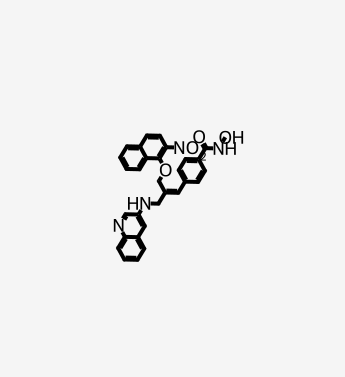 O=C(NO)c1ccc(C=C(CNc2cnc3ccccc3c2)COc2c([N+](=O)[O-])ccc3ccccc23)cc1